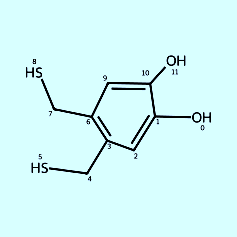 Oc1cc(CS)c(CS)cc1O